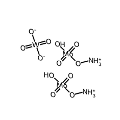 [NH3+][O][Mo](=[O])(=[O])[OH].[NH3+][O][Mo](=[O])(=[O])[OH].[O]=[W](=[O])([O-])[O-]